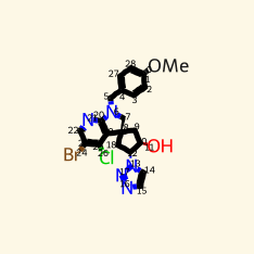 COc1ccc(CN2C[C@]3(C[C@@H](O)[C@H](n4ccnn4)C3)c3c2ncc(Br)c3Cl)cc1